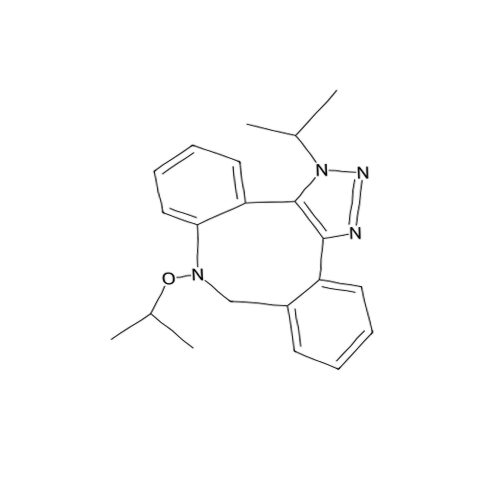 CC(C)ON1Cc2ccccc2-c2nnn(C(C)C)c2-c2ccccc21